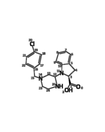 O=C(O)[C@@H]1Cc2ccccc2N1C1CN(Cc2ccc(Cl)cc2)CCN1